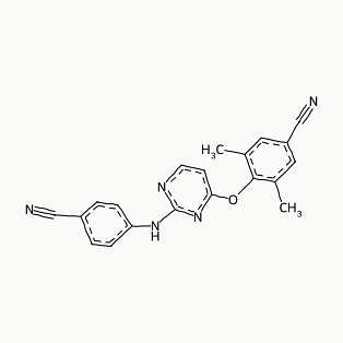 Cc1cc(C#N)cc(C)c1Oc1ccnc(Nc2ccc(C#N)cc2)n1